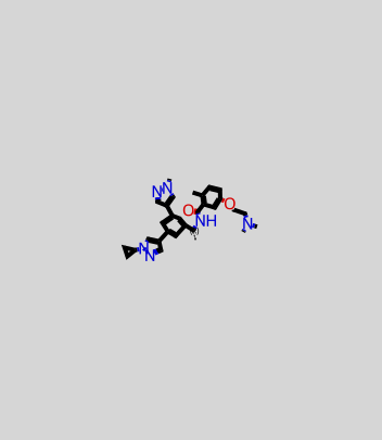 Cc1ccc(OCCN(C)C)cc1C(=O)N[C@H](C)c1cc(-c2cnn(C)c2)cc(-c2cnn(C3CC3)c2)c1